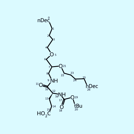 CCCCCCCCCCCCCCOCC(CNC(=O)[C@H](CCC(=O)O)NC(=O)OC(C)(C)C)OCCCCCCCCCCCCCC